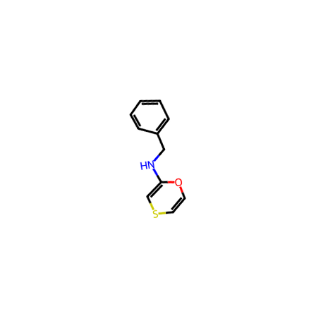 C1=CSC=C(NCc2ccccc2)O1